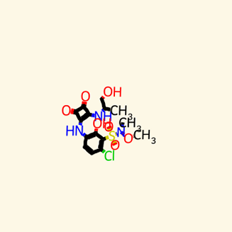 CON(C)S(=O)(=O)c1c(Cl)ccc(Nc2c(NC(C)CO)c(=O)c2=O)c1O